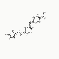 Cc1cnc(COc2cccc(Oc3ccc(C(C)C)cc3)c2)s1